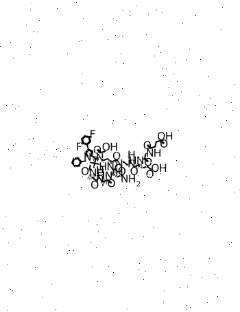 CC(=O)N[C@@H](C)C(=O)N[C@H](C)C(=O)N[C@@H](CC(N)=O)C(=O)N[C@@H](CCN(C(=O)CO)[C@@H](c1cc(-c2cc(F)ccc2F)cn1Cc1ccccc1)C(C)(C)C)C(=O)NCCNC(=O)[C@@H](CCC(=O)O)NC(=O)CNC(=O)CCC(=O)O